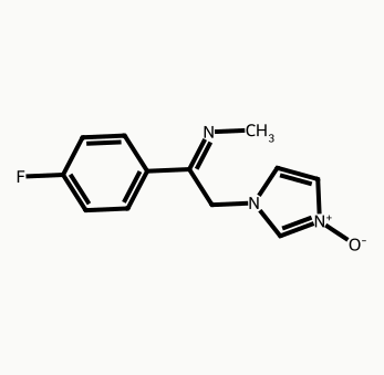 CN=C(Cn1cc[n+]([O-])c1)c1ccc(F)cc1